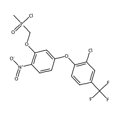 CP(=O)(Cl)COc1cc(Oc2ccc(C(F)(F)F)cc2Cl)ccc1[N+](=O)[O-]